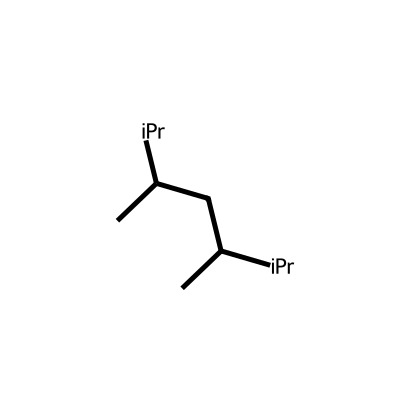 [CH2]C(C)C(C)CC(C)C(C)C